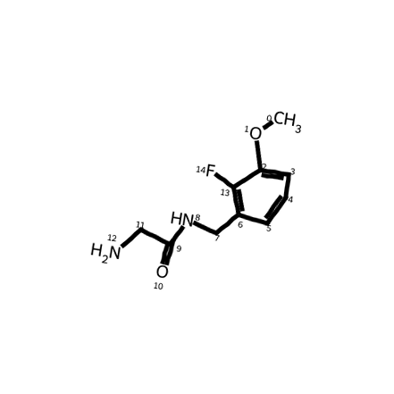 COc1cccc(CNC(=O)CN)c1F